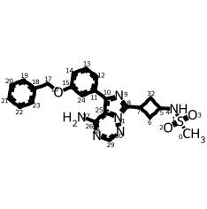 CS(=O)(=O)NC1CC(c2nc(-c3cccc(OCc4ccccc4)c3)c3c(N)ncnn23)C1